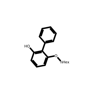 CCCCCCOc1cccc(O)c1-c1ccccc1